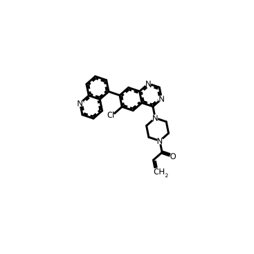 C=CC(=O)N1CCN(c2ncnc3cc(-c4cccc5ncccc45)c(Cl)cc23)CC1